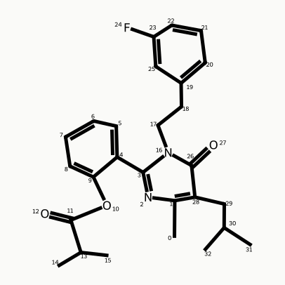 Cc1nc(-c2ccccc2OC(=O)C(C)C)n(CCc2cccc(F)c2)c(=O)c1CC(C)C